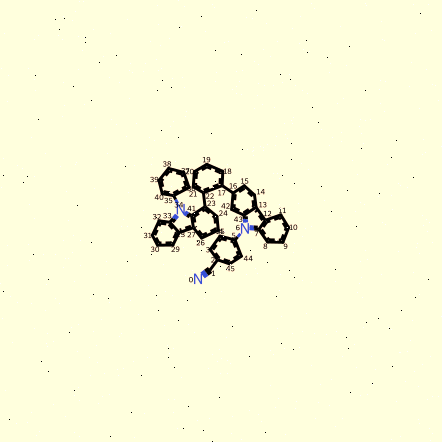 N#Cc1ccc(-n2c3ccccc3c3ccc(-c4ccccc4-c4cccc5c6ccccc6n(-c6ccccc6)c45)cc32)cc1